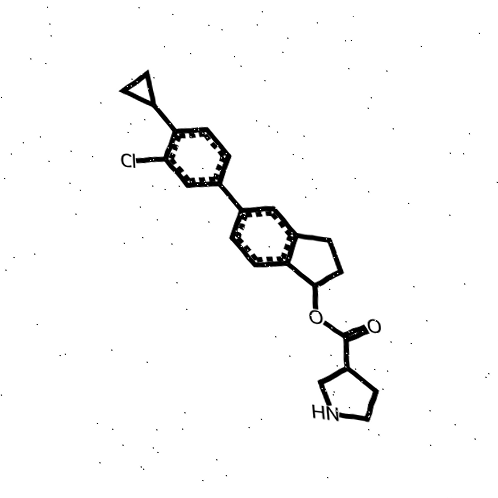 O=C(OC1CCc2cc(-c3ccc(C4CC4)c(Cl)c3)ccc21)C1CCNC1